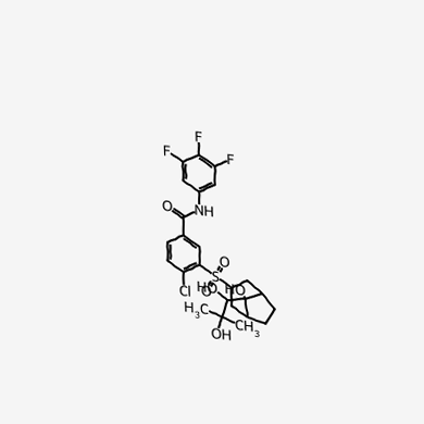 CC(C)(O)C(O)C1(O)C2CCC1CC(S(=O)(=O)c1cc(C(=O)Nc3cc(F)c(F)c(F)c3)ccc1Cl)C2